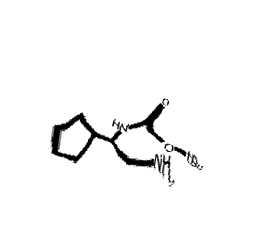 CC(C)(C)OC(=O)NC(CN)C1CCCC1